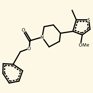 COc1csc(C)c1C1CCN(C(=O)OCc2ccccc2)CC1